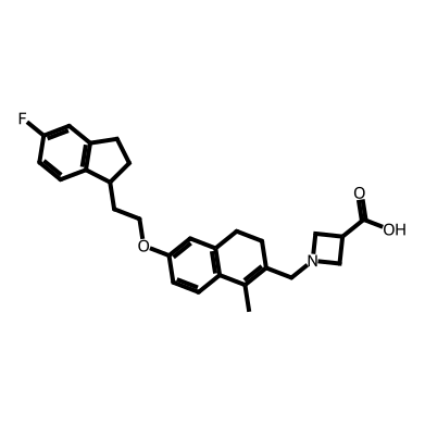 CC1=C(CN2CC(C(=O)O)C2)CCc2cc(OCCC3CCc4cc(F)ccc43)ccc21